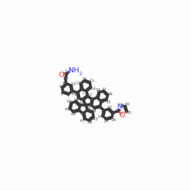 NC1OC1c1cccc(-c2cc3c(c4ccccc24)-c2c(cc(-c4cccc(-c5ncco5)c4)c4ccccc24)C32c3ccccc3-c3ccccc32)c1